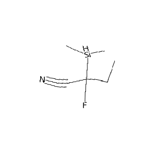 CCC(F)(C#N)[SiH](C)C